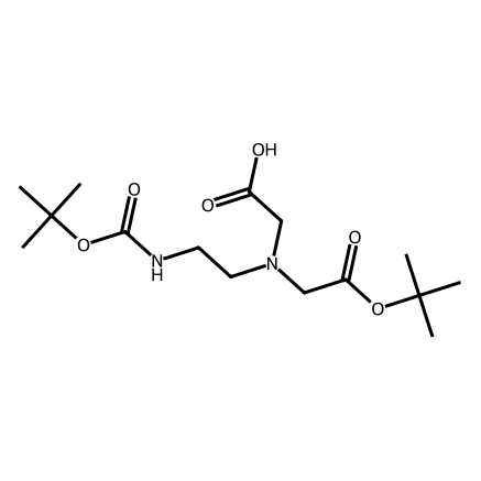 CC(C)(C)OC(=O)CN(CCNC(=O)OC(C)(C)C)CC(=O)O